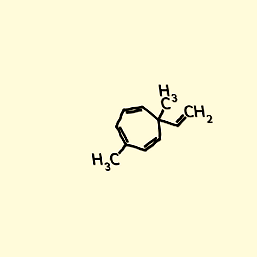 C=CC1(C)C=CC=C(C)C=C1